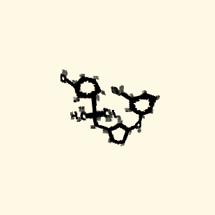 CC(C)(C)c1cccc(OC2CCC(CC(C)(C)c3cccc(Cl)c3)C2)c1